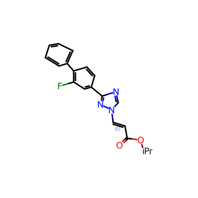 CC(C)OC(=O)/C=C/n1cnc(-c2ccc(-c3ccccc3)c(F)c2)n1